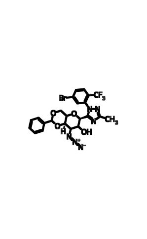 Cc1nc([C@@H]2OC3COC(c4ccccc4)O[C@@H]3C(N=[N+]=[N-])C2O)n(-c2cc(Br)ccc2C(F)(F)F)n1